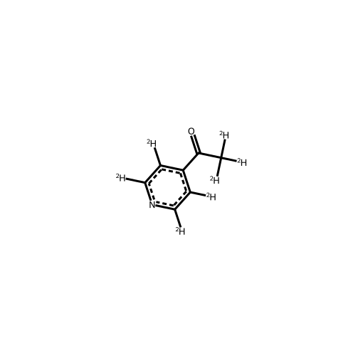 [2H]c1nc([2H])c([2H])c(C(=O)C([2H])([2H])[2H])c1[2H]